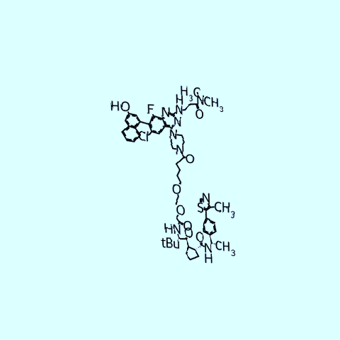 Cc1ncsc1-c1ccc([C@H](C)NC(=O)[C@@H]2CCCC2C(=O)[C@@H](NC(=O)COCCOCCCCC(=O)N2CCN(c3nc(NCCC(=O)N(C)C)nc4c(F)c(-c5cc(O)cc6ccccc56)c(Cl)cc34)CC2)C(C)(C)C)cc1